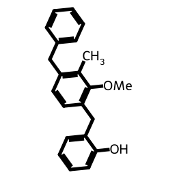 COc1c(Cc2ccccc2O)ccc(Cc2ccccc2)c1C